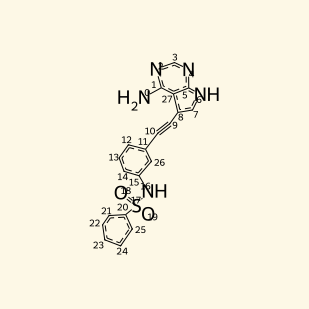 Nc1ncnc2[nH]cc(C#Cc3cccc(NS(=O)(=O)c4ccccc4)c3)c12